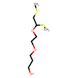 CSCC(OCCOCCCO)SC